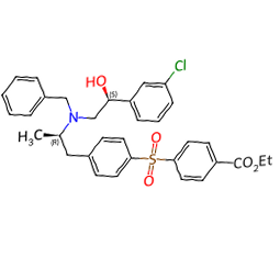 CCOC(=O)c1ccc(S(=O)(=O)c2ccc(C[C@@H](C)N(Cc3ccccc3)C[C@@H](O)c3cccc(Cl)c3)cc2)cc1